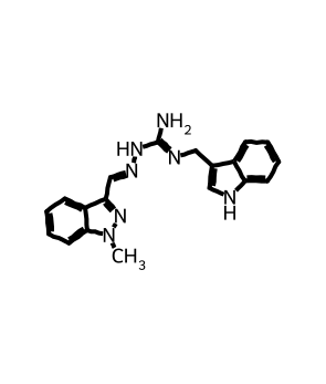 Cn1nc(C=NNC(N)=NCc2c[nH]c3ccccc23)c2ccccc21